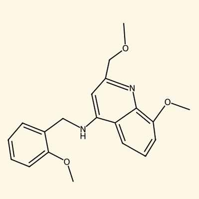 COCc1cc(NCc2ccccc2OC)c2cccc(OC)c2n1